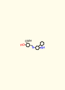 COc1cc(C=Nc2ccc3[nH]c4ccccc4c3c2)ccc1O